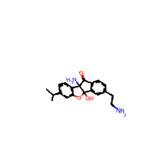 CC(C)c1ccc2c(c1)OC1(O)c3cc(CCN)ccc3C(=O)C21N